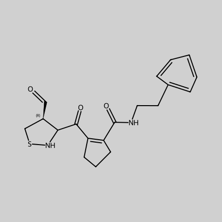 O=C[C@@H]1CSNC1C(=O)C1=C(C(=O)NCCc2ccccc2)CCC1